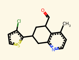 Cc1ccnc2c1C(C=O)CC(c1sccc1Cl)C2